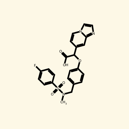 CN(Cc1ccc(OC(C(=O)O)c2ccn3ccnc3c2)cc1)S(=O)(=O)c1ccc(F)cc1